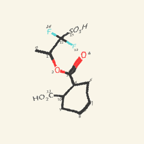 CC(OC(=O)C1CCCCC1C(=O)O)C(F)(F)S(=O)(=O)O